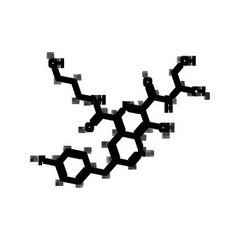 CC(CO)NC(=O)c1nc(C(=O)NCCCO)c2cc(Cc3ccc(F)cc3)cnc2c1O